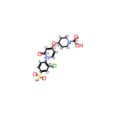 CS(=O)(=O)c1ccc(-n2ccc(OC3CCN(C(=O)O)CC3)cc2=O)c(Cl)c1